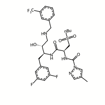 CCCCS(=O)(=O)C[C@@H](NC(=O)n1cc(C)cn1)C(=O)N[C@@H](Cc1cc(F)cc(F)c1)[C@H](O)CNCc1cccc(C(F)(F)F)c1